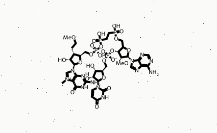 COCC[C@H]1[C@@H](O)[C@H](n2c[n+](C)c3c(=O)[nH]c(N)nc32)O[C@@H]1COP(=O)(O)OP(=O)(O)CCP(=O)(O)OCC1O[C@@H](n2cnc3c(N)ncnc32)[C@H](OC)[C@@H]1OP(=O)([O-])OC[C@H]1O[C@@H](n2ccc(=O)[nH]c2=O)[C@H](O)[C@@H]1O